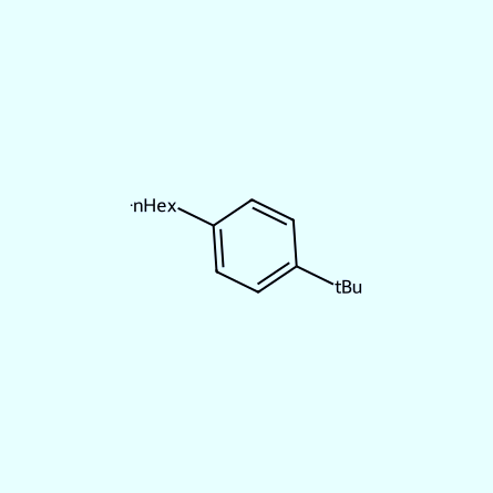 CCCCC[CH]c1ccc(C(C)(C)C)cc1